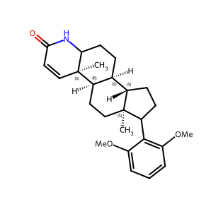 COc1cccc(OC)c1C1CC[C@H]2[C@@H]3CCC4NC(=O)C=C[C@]4(C)[C@@H]3CC[C@]12C